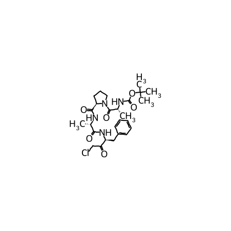 C[C@H](NC(=O)[C@H]1CCCN1C(=O)[C@@H](C)NC(=O)OC(C)(C)C)C(=O)N[C@@H](Cc1ccccc1)C(=O)CCl